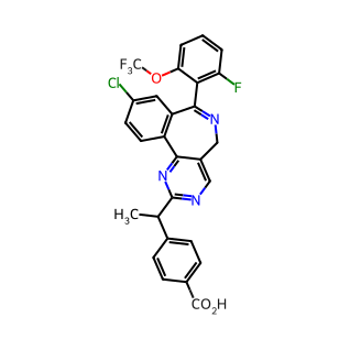 CC(c1ccc(C(=O)O)cc1)c1ncc2c(n1)-c1ccc(Cl)cc1C(c1c(F)cccc1OC(F)(F)F)=NC2